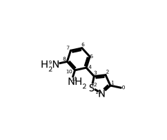 Cc1cc(-c2cccc(N)c2N)sn1